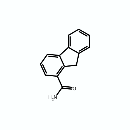 NC(=O)c1cccc2c1[CH]c1ccccc1-2